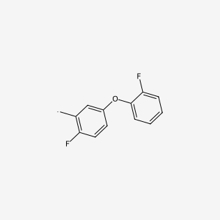 [CH2]c1cc(Oc2ccccc2F)ccc1F